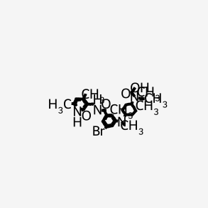 Cc1cc(C)c(CNC(=O)c2cc(Br)cc(N(C)C3CCC(N(C(=O)O)C(C)(C)C)CC3)c2C)c(=O)[nH]1